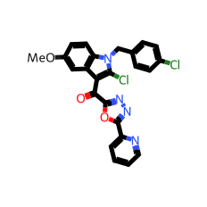 COc1ccc2c(c1)c(C(=O)c1nnc(-c3ccccn3)o1)c(Cl)n2Cc1ccc(Cl)cc1